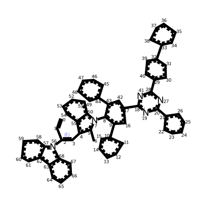 C=C/C(=C\c1c(C)n(-c2c(-c3ccccc3)cc(-c3nc(-c4ccccc4)nc(-c4ccc(-c5ccccc5)cc4)n3)cc2-c2ccccc2)c2ccccc12)n1c2ccccc2c2ccccc21